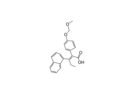 CC/C(=C(\C(=O)O)c1ccc(OCOC)cc1)c1cccc2ccccc12